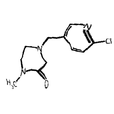 CN1CCN(Cc2ccc(Cl)nc2)CC1=O